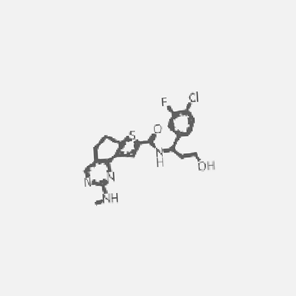 CNc1ncc2c(n1)-c1cc(C(=O)NC(CCO)c3ccc(Cl)c(F)c3)sc1CC2